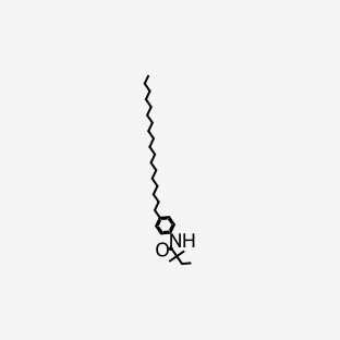 CCCCCCCCCCCCCCCCCCc1ccc(NC(=O)C(C)(C)CC)cc1